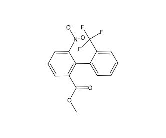 COC(=O)c1cccc([N+](=O)[O-])c1-c1ccccc1C(F)(F)F